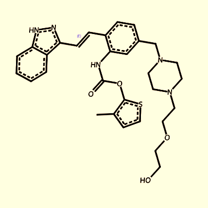 Cc1ccsc1OC(=O)Nc1cc(CN2CCN(CCOCCO)CC2)ccc1/C=C/c1n[nH]c2ccccc12